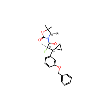 CC(C)[C@@H]1N(C(=O)[C@](C)(F)[C@H](c2cccc(OCc3ccccc3)c2)C2CC2)C(=O)OC1(C)C